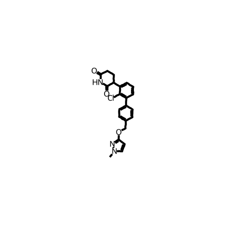 Cn1ccc(OCc2ccc(-c3cccc(C4CCC(=O)NC4=O)c3Cl)cc2)n1